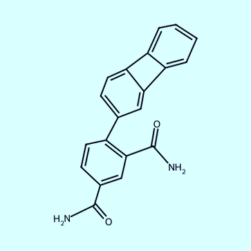 NC(=O)c1ccc(-c2ccc3c(c2)-c2ccccc2-3)c(C(N)=O)c1